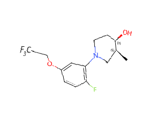 C[C@H]1CN(c2cc(OCC(F)(F)F)ccc2F)CC[C@H]1O